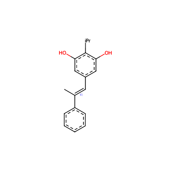 C/C(=C\c1cc(O)c(C(C)C)c(O)c1)c1ccccc1